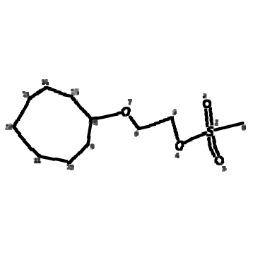 CS(=O)(=O)OCCOC1CCCCCCC1